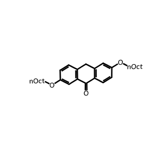 CCCCCCCCOc1ccc2c(c1)Cc1ccc(OCCCCCCCC)cc1C2=O